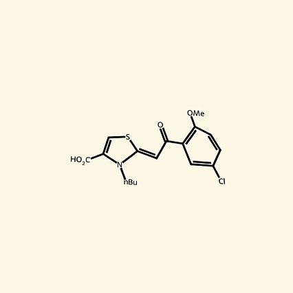 CCCCN1C(C(=O)O)=CS/C1=C\C(=O)c1cc(Cl)ccc1OC